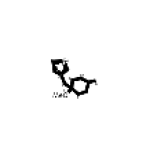 COC1(Cc2ccsc2)CCC(C)CC1